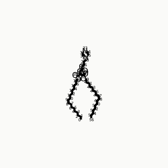 CCCCCCCC/C=C\CCCCCCCCOC(=O)C(OC(=O)OCCCN1CCN(C)CC1)C(=O)OCCCCCCCC/C=C\CCCCCCCC